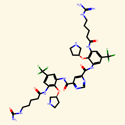 N=C(N)NCCCCC(=O)Nc1cc(C(F)(F)F)cc(NC(=O)c2cc(C(=O)Nc3cc(C(F)(F)F)cc(NC(=O)CCCCNC(N)=O)c3O[C@H]3CCNC3)ncn2)c1O[C@H]1CCNC1